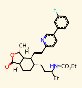 CCOC(=O)N[C@@H](CC)CC[C@@H]1CC[C@H]2C(=O)O[C@H](C)[C@H]2[C@H]1/C=C/c1ccc(-c2cccc(F)c2)cn1